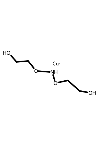 OCCONOCCO.[Cu]